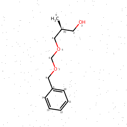 C[C@@H](CO)COCOCc1ccccc1